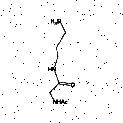 CC(=O)NCC(=O)NCCC[SiH3]